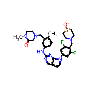 Cc1ccc(Nc2ncc3ccn(-c4cc(F)c(CN5CC[S+]([O-])CC5)c(F)c4)c3n2)cc1CN1CCN(C)C(=O)C1